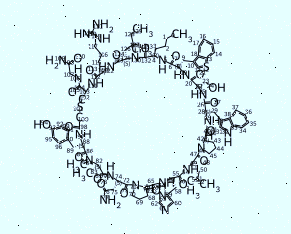 CCCC[C@H]1NC(=O)[C@H](Cc2csc3ccccc23)NC(=O)[C@H](CO)NC(=O)[C@H](Cc2c[nH]c3ccccc23)NC(=O)[C@@H]2CCCN2C(=O)[C@H](CC(C)C)NC(=O)[C@H](Cc2cnc[nH]2)NC(=O)[C@@H]2CCCN2C(=O)[C@H](CC(N)=O)NC(=O)[C@H](C)N(C)C(=O)[C@H](Cc2ccc(O)cc2)NC(=O)CSCC(C(=O)NCC(N)=O)NC(=O)[C@H](CCCNC(=N)N)NC(=O)[C@H](CCCC)N(C)C1=O